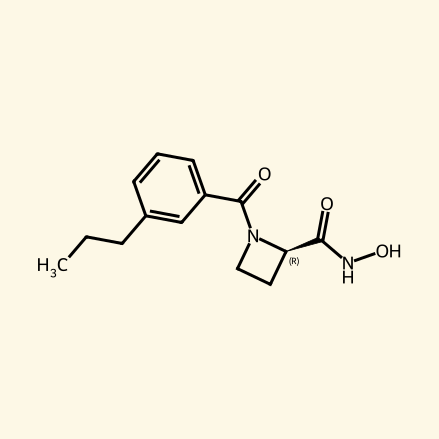 CCCc1cccc(C(=O)N2CC[C@@H]2C(=O)NO)c1